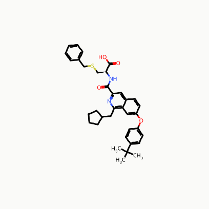 CC(C)(C)c1ccc(Oc2ccc3cc(C(=O)N[C@@H](CSCc4ccccc4)C(=O)O)nc(CC4CCCC4)c3c2)cc1